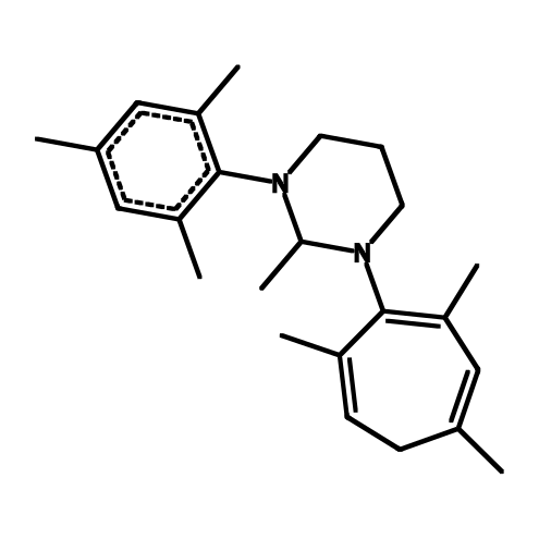 CC1=CC(C)=C(N2CCCN(c3c(C)cc(C)cc3C)C2C)C(C)=CC1